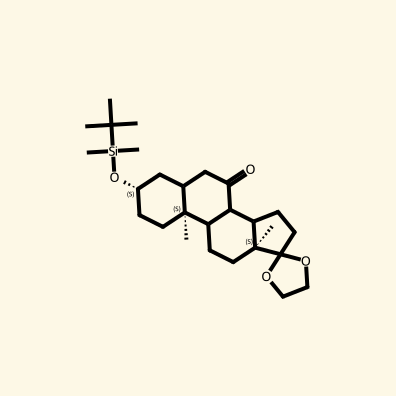 CC(C)(C)[Si](C)(C)O[C@H]1CC[C@@]2(C)C(CC(=O)C3C2CC[C@@]2(C)C3CCC23OCCO3)C1